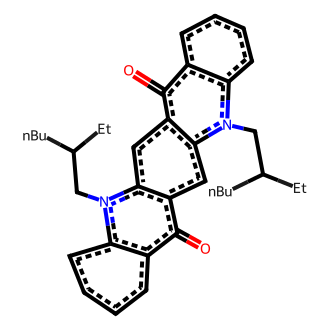 CCCCC(CC)Cn1c2ccccc2c(=O)c2cc3c(cc21)c(=O)c1ccccc1n3CC(CC)CCCC